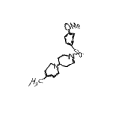 COc1ccc([S+]([O-])N2CCC(N3CCC(C)CC3)CC2)cc1